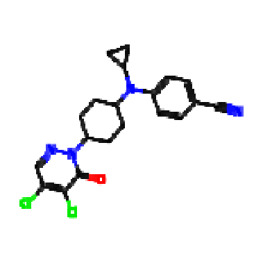 N#Cc1ccc(N(C2CC2)C2CCC(n3ncc(Cl)c(Cl)c3=O)CC2)cc1